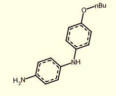 CCCCOc1ccc(Nc2ccc(N)cc2)cc1